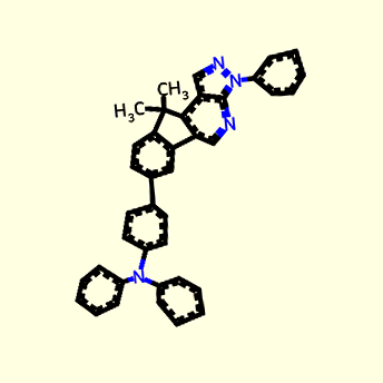 CC1(C)c2ccc(-c3ccc(N(c4ccccc4)c4ccccc4)cc3)cc2-c2cnc3c(cnn3-c3ccccc3)c21